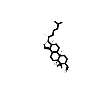 CC(C)CCC[C@@H](C)[C@H]1CC=C2C3=C(CC[C@@]21C)[C@@]1(C)CCC(C=O)C(C)(C)[C@@H]1CC3